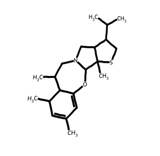 CC1=CC(C)C2C(=C1)OC1N(CC2C)CC2C(C(C)C)CSC21C